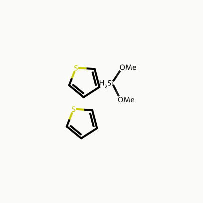 CO[SiH2]OC.c1ccsc1.c1ccsc1